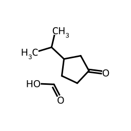 CC(C)C1CCC(=O)C1.O=CO